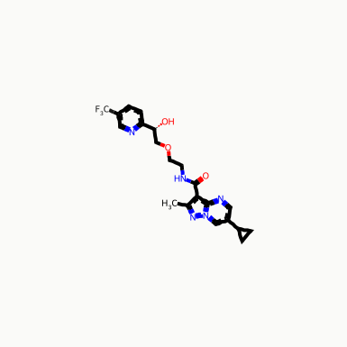 Cc1nn2cc(C3CC3)cnc2c1C(=O)NCCOC[C@@H](O)c1ccc(C(F)(F)F)cn1